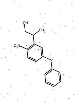 CC(CO)c1cc(Sc2ccccc2)ccc1[N+](=O)[O-]